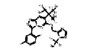 [2H]C([2H])([2H])n1ncnc1COc1nn2c(-c3cc(F)ccc3F)nnc2cc1C(C([2H])([2H])[2H])(C([2H])([2H])[2H])C([2H])([2H])[2H]